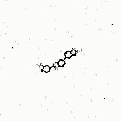 CC1CC(c2nc3ccc(-c4ccc5nn(C)cc5c4)cc3s2)CCN1